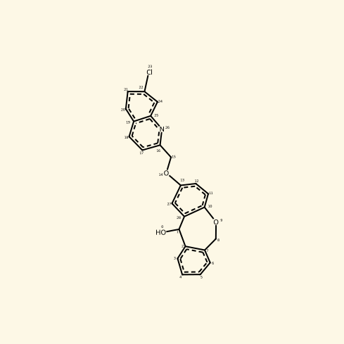 OC1c2ccccc2COc2ccc(OCc3ccc4ccc(Cl)cc4n3)cc21